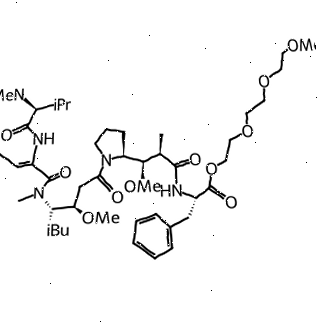 C/C=C(\NC(=O)[C@@H](NC)C(C)C)C(=O)N(C)[C@@H]([C@@H](C)CC)[C@@H](CC(=O)N1CCC[C@H]1[C@H](OC)[C@@H](C)C(=O)N[C@@H](Cc1ccccc1)C(=O)OCCOCCOCCOC)OC